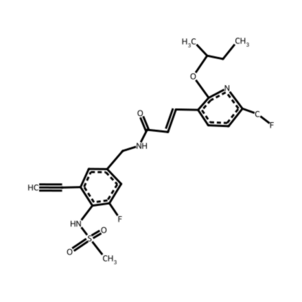 C#Cc1cc(CNC(=O)/C=C/c2ccc(CF)nc2OC(C)CC)cc(F)c1NS(C)(=O)=O